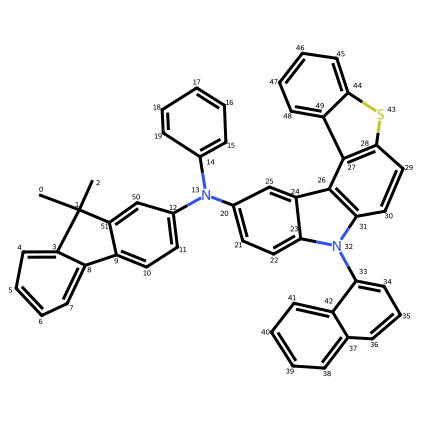 CC1(C)c2ccccc2-c2ccc(N(c3ccccc3)c3ccc4c(c3)c3c5c(ccc3n4-c3cccc4ccccc34)sc3ccccc35)cc21